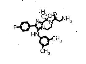 Cc1cc(C)cc(Nc2c(-c3ccc(F)cc3)nc3n2CCN(C(=O)CN)C3(C)C)c1